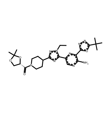 CCn1nc(C2CCN(C(=O)[C@@H]3COC(C)(C)O3)CC2)nc1-c1cnc(N)c(-c2nnc(C(C)(C)C)o2)n1